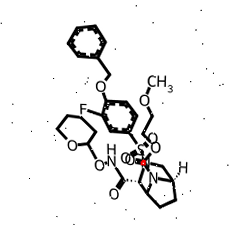 COCCOC(=O)N1C2CC[C@@H]1CN(S(=O)(=O)c1ccc(OCc3ccccc3)c(F)c1)[C@H]2C(=O)NOC1CCCCO1